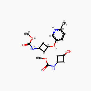 CC(C)(C)OC(=O)NC1CC(O)C1.CC(C)(C)OC(=O)NC1CC(Oc2ccc(C(F)(F)F)nc2)C1